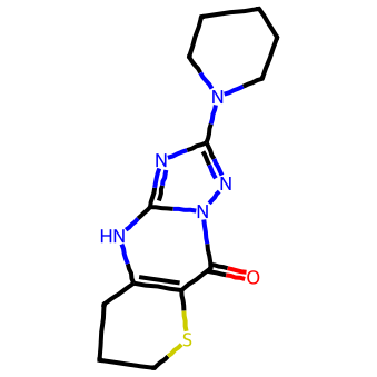 O=c1c2c([nH]c3nc(N4CCCCC4)nn13)CCCS2